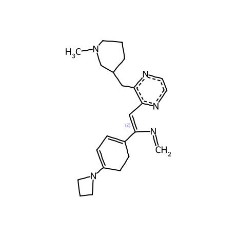 C=N/C(=C\c1nccnc1CC1CCCN(C)C1)C1=CC=C(N2CCC2)CC1